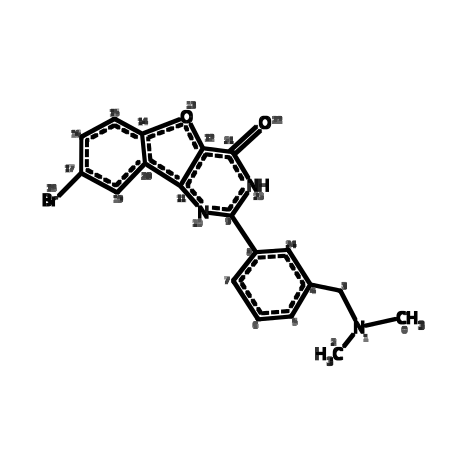 CN(C)Cc1cccc(-c2nc3c(oc4ccc(Br)cc43)c(=O)[nH]2)c1